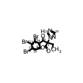 CCC(C(=O)O)(C(O)c1ccc(Br)c(Br)c1Br)n1cncn1